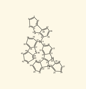 c1ccc2c(c1)sc1c(N(c3ccc4c(c3)c3c5ccccc5n5c6ccccc6n4c35)c3cccc4c3sc3ccccc34)cccc12